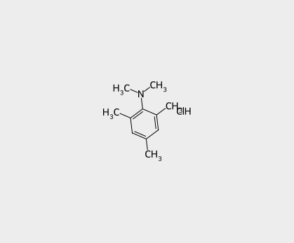 Cc1cc(C)c(N(C)C)c(C)c1.Cl